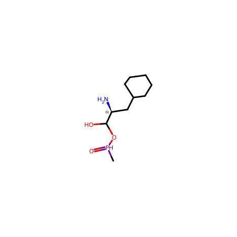 C[PH](=O)OC(O)[C@@H](N)CC1CCCCC1